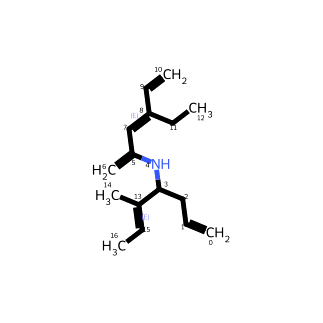 C=CCC(NC(=C)/C=C(/C=C)CC)/C(C)=C/C